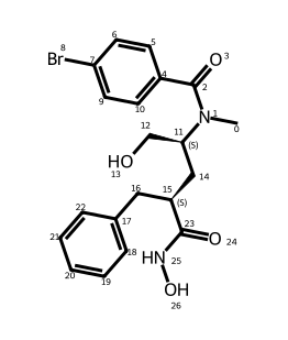 CN(C(=O)c1ccc(Br)cc1)[C@H](CO)C[C@H](Cc1ccccc1)C(=O)NO